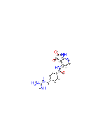 N=C(N)NCC1CCC(C(=O)Nc2ccnc3c2C(=O)C(=O)N3)CC1